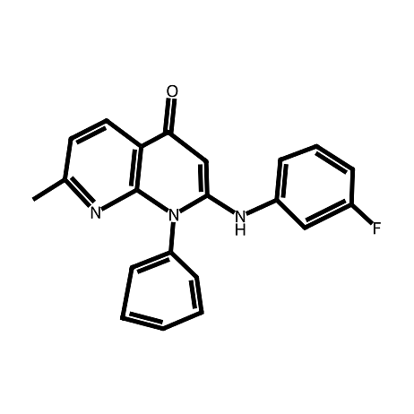 Cc1ccc2c(=O)cc(Nc3cccc(F)c3)n(-c3ccccc3)c2n1